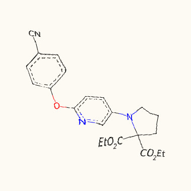 CCOC(=O)C1(C(=O)OCC)CCCN1c1ccc(Oc2ccc(C#N)cc2)nc1